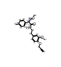 C#CCOc1ccc(CCNC(=O)/C(=N\OC)c2ccc(C)cc2)cc1OC